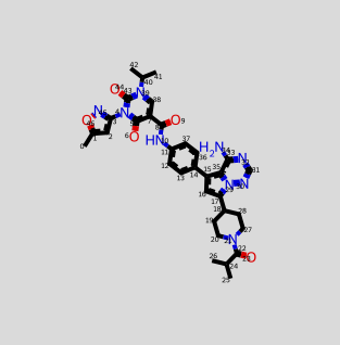 Cc1cc(-n2c(=O)c(C(=O)Nc3ccc(-c4cc(C5CCN(C(=O)C(C)C)CC5)n5ncnc(N)c45)cc3)cn(C(C)C)c2=O)no1